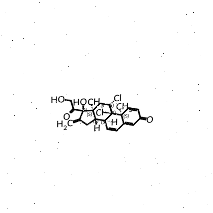 C=C1C[C@H]2[C@@H]3C=CC4=CC(=O)C=C[C@]4(C)[C@@]3(Cl)[C@@H](Cl)C[C@]2(C)[C@@]1(O)C(=O)CO